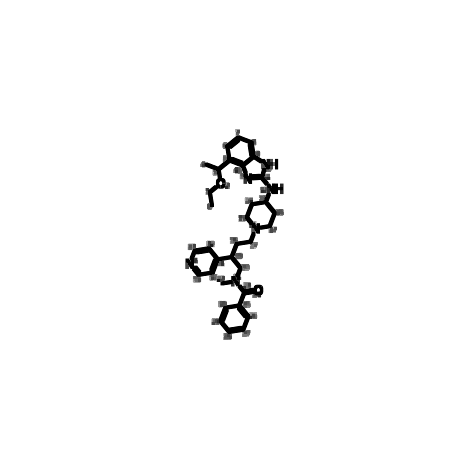 CCOC(C)c1cccc2[nH]c(NC3CCN(CCC(CN(C)C(=O)c4ccccc4)c4ccncc4)CC3)nc12